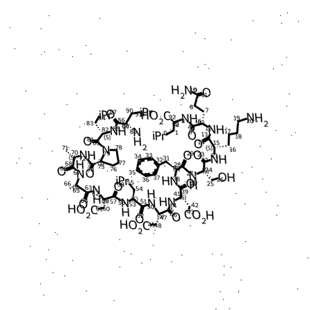 CC(C)C[C@H](NC(=O)[C@H](CCC(N)=O)NC(=O)[C@H](CCCCN)NC(=O)[C@H](CO)NC(=O)[C@H](Cc1ccccc1)NC(=O)[C@H](CC(=O)O)NC(=O)[C@H](CC(=O)O)NC(=O)[C@H](CC(C)C)NC(=O)[C@H](CC(=O)O)NC(=O)[C@H](C)NC(=O)[C@H](C)NC(=O)[C@@H]1CCCN1C(=O)[C@H](CC(C)C)NC(=O)[C@@H](N)CC(C)C)C(=O)O